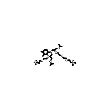 Cc1ccc(N(CC(COC(C)C)OCCOCCOCC[N+](C)(C)C)CC(COC(C)C)OCCOCC[N+](C)(C)C)cc1C